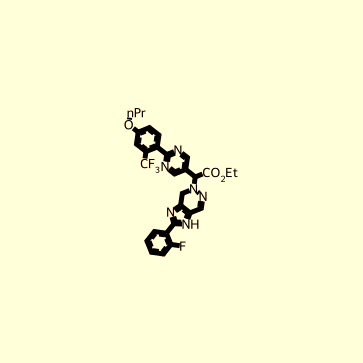 CCCOc1ccc(-c2ncc(C(C(=O)OCC)N3Cc4nc(-c5ccccc5F)[nH]c4C=N3)cn2)c(C(F)(F)F)c1